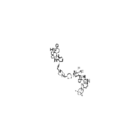 CC1CN(c2ccn3ncc(C(=O)Nc4cn([C@H]5CC[C@H](CN6CCN(CC#Cc7cccc8c7n(C)c(=O)n8C7CCC(=O)NC7=O)CC6)CC5)nc4C(F)F)c3n2)CC(C)O1